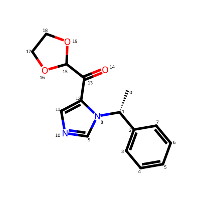 C[C@H](c1ccccc1)n1cncc1C(=O)C1OCCO1